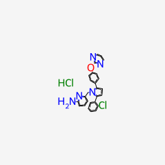 Cl.Nc1cccc(Cn2c(-c3ccc(Oc4ncccn4)cc3)ccc2-c2ccccc2Cl)n1